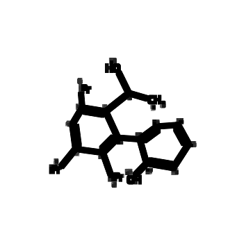 CCCc1c(C(C)C)cc(C(C)C)c(C(C)O)c1-c1ccccc1O